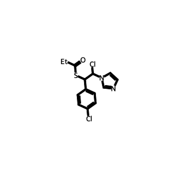 CCC(=O)SC(c1ccc(Cl)cc1)C(Cl)n1ccnc1